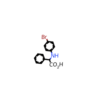 O=C(O)C(Nc1ccc(Br)cc1)c1ccccc1